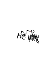 O=C(O)CCC/C=C\CC1C2CCC(C2)C1CNNC(=O)Nc1ccccc1